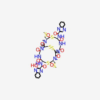 CSC[C@H]1C(=O)SC[C@@H](NC(=O)c2nc3ccccc3nc2O)C(=O)NCC(=O)N(C)[C@H]2CSSC[C@@H](C(=O)N1C)N(C)C(=O)CNC(=O)[C@H](NC(=O)c1cnc3ccccc3n1)CSC(=O)[C@H](CSC)N(C)C2=O